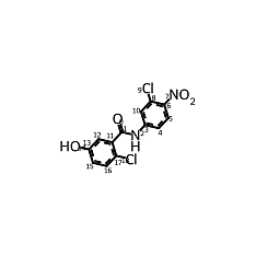 O=C(Nc1ccc([N+](=O)[O-])c(Cl)c1)c1cc(O)ccc1Cl